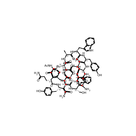 CC[C@H](C)[C@H](NC(=O)[C@H](Cc1c[nH]c2ccccc12)NC(=O)[C@H](Cc1ccccc1)NC(=O)[C@H](Cc1ccc(O)cc1)NC(=O)[C@H](CCC(N)=O)NC(=O)[C@H](C)NC(C)=O)C(=O)N[C@@H](C)C(=O)N[C@@H](Cc1c[nH]c2ccccc12)C(=O)N[C@@H](Cc1ccc(O)cc1)C(=O)N[C@@H](CCCCN)C(=O)N[C@@H](CC(C)C)C(=O)N[C@@H](C)C(=O)N[C@@H](CC(N)=O)C(=O)N[C@@H](CO)C(=O)N[C@@H](CCCCN)C(N)=O